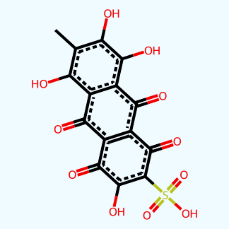 Cc1c(O)c(O)c2c(=O)c3c(=O)c(S(=O)(=O)O)c(O)c(=O)c=3c(=O)c2c1O